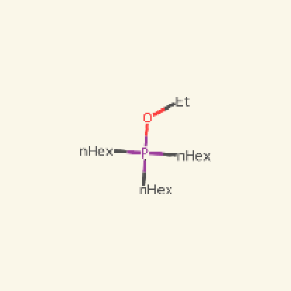 CCCCCC[P](CCCCCC)(CCCCCC)OCC